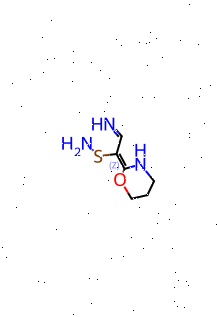 N=C/C(SN)=C1\NCCCO1